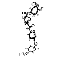 O=C(Nc1ccc(O[C@H]2CC[C@@H](C(=O)O)CC2)nc1)c1nnc(Nc2ccc(F)c(C(F)(F)F)c2)o1